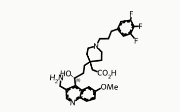 COc1ccc2ncc(CN)c([C@H](O)CCC3(CC(=O)O)CCN(CCCc4cc(F)c(F)c(F)c4)CC3)c2c1